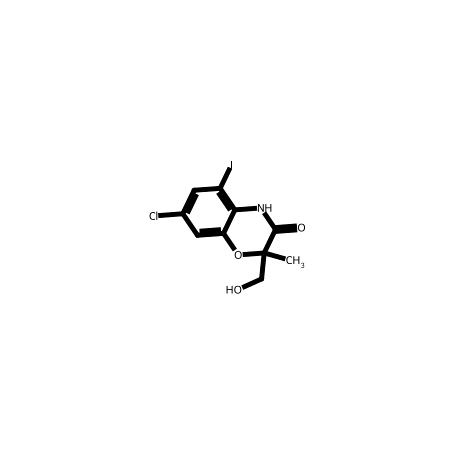 CC1(CO)Oc2cc(Cl)cc(I)c2NC1=O